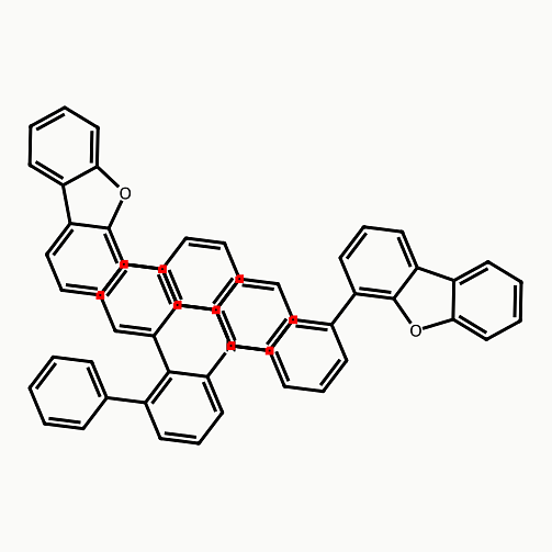 c1ccc(-c2ccccc2-c2c(-c3ccccc3)cccc2N(c2cccc(-c3cccc4c3oc3ccccc34)c2)c2cccc(-c3cccc4c3oc3ccccc34)c2)cc1